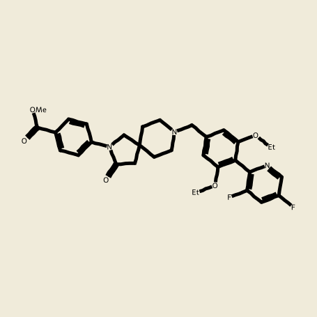 CCOc1cc(CN2CCC3(CC2)CC(=O)N(c2ccc(C(=O)OC)cc2)C3)cc(OCC)c1-c1ncc(F)cc1F